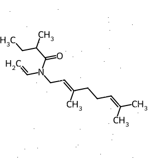 C=CN(C/C=C(\C)CCC=C(C)C)C(=O)C(C)CC